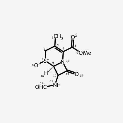 COC(=O)C1=C(C)C[S+]([O-])[C@@H]2C(NC=O)C(=O)N12